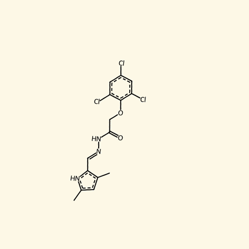 Cc1cc(C)c(/C=N/NC(=O)COc2c(Cl)cc(Cl)cc2Cl)[nH]1